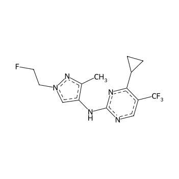 Cc1nn(CCF)cc1Nc1ncc(C(F)(F)F)c(C2CC2)n1